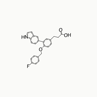 O=C(O)CCc1ccc(OCc2ccc(F)cc2)c(-c2ccc3[nH]ccc3c2)c1